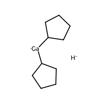 C1CC[CH]([Ga][CH]2CCCC2)C1.[H-]